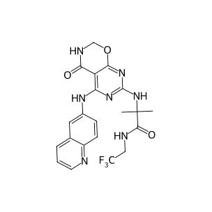 CC(C)(Nc1nc(Nc2ccc3ncccc3c2)c2c(n1)OCNC2=O)C(=O)NCC(F)(F)F